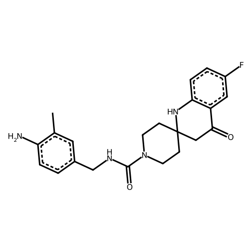 Cc1cc(CNC(=O)N2CCC3(CC2)CC(=O)c2cc(F)ccc2N3)ccc1N